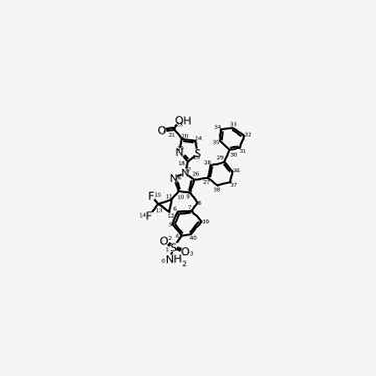 NS(=O)(=O)C1=C=C=C(Cc2c(C3CC3(F)F)nn(-c3nc(C(=O)O)cs3)c2C2=CC(c3ccccc3)=CCC2)C=C1